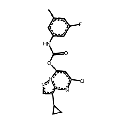 Cc1cc(F)cc(NC(=O)Oc2cc(Cl)nc3c(C4CC4)cnn23)c1